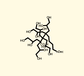 CCCCCCCCCCCCCCC(CC(O)CO)(CC(O)CO)C(CC(O)CO)(CC(O)CO)C(CC(O)CO)(CC(O)CO)C(=O)O